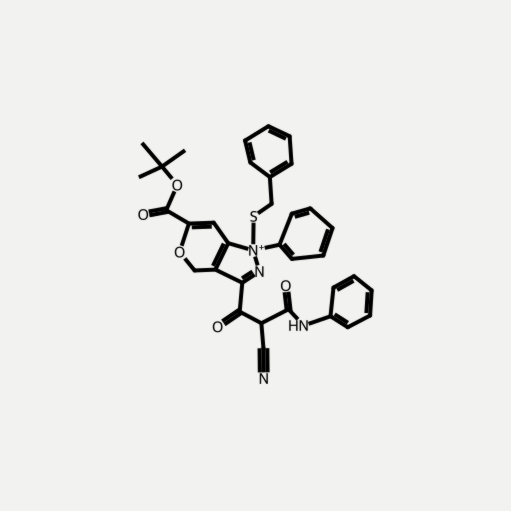 CC(C)(C)OC(=O)C1=CC2=C(CO1)C(C(=O)C(C#N)C(=O)Nc1ccccc1)=N[N+]2(SCc1ccccc1)c1ccccc1